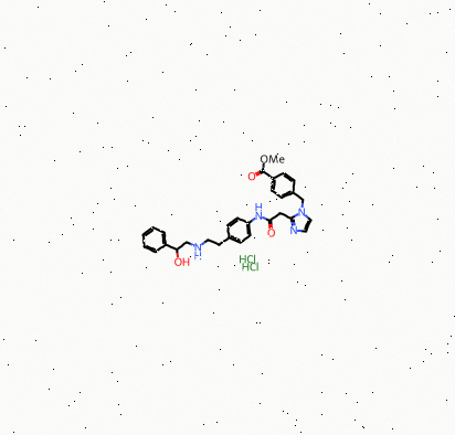 COC(=O)c1ccc(Cn2ccnc2CC(=O)Nc2ccc(CCNCC(O)c3ccccc3)cc2)cc1.Cl.Cl